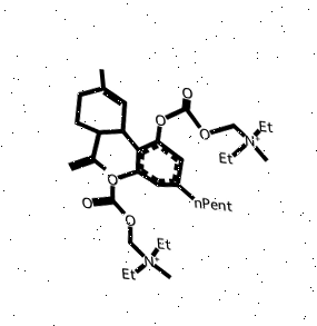 C=C(C)C1CCC(C)=CC1c1c(OC(=O)OC[N+](C)(CC)CC)cc(CCCCC)cc1OC(=O)OC[N+](C)(CC)CC